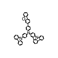 c1ccc2c(c1)oc1cc(-c3ccc(N(c4ccc(-n5c6ccccc6c6ccccc65)cc4)c4ccc5c(c4)c4cccc6c7ccccc7n5c64)cc3)ccc12